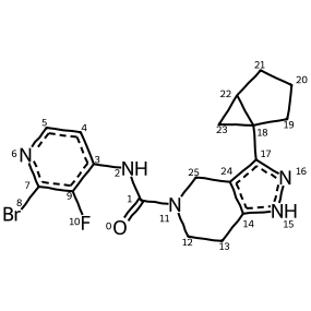 O=C(Nc1ccnc(Br)c1F)N1CCc2[nH]nc(C34CCCC3C4)c2C1